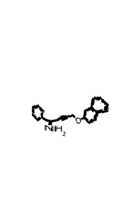 NC(C#CCOc1ccc2ccccc2c1)c1ccccc1